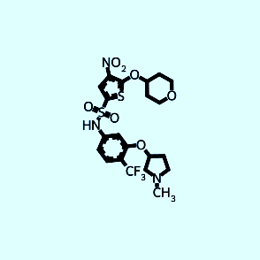 CN1CCC(Oc2cc(NS(=O)(=O)c3cc([N+](=O)[O-])c(OC4CCOCC4)s3)ccc2C(F)(F)F)C1